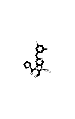 CN1c2cnc(Cc3cc(F)cc(F)c3)nc2N(C(=O)N2CCCC2)C1C=O